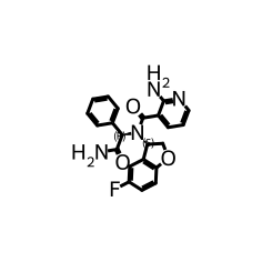 NC(=O)[C@@H](c1ccccc1)N(C(=O)c1cccnc1N)[C@@H]1COc2ccc(F)cc21